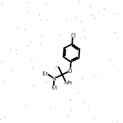 [CH2]C(CCC)(Oc1ccc(Cl)cc1)N(CC)CC